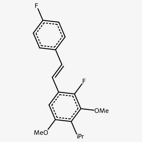 COc1cc(/C=C/c2ccc(F)cc2)c(F)c(OC)c1C(C)C